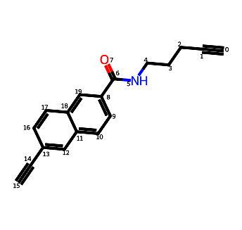 C#CCCCNC(=O)c1ccc2cc(C#C)ccc2c1